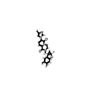 Cc1cn(-c2ccc3n(c2=O)CCN(C[C@]24C[C@@]2(C)Oc2cc(F)c(C)cc24)C3=O)cn1